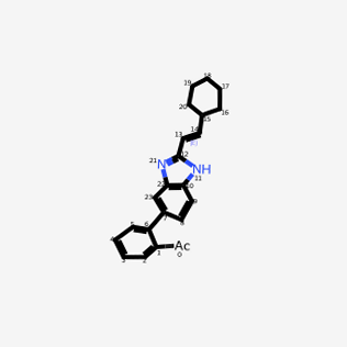 CC(=O)c1ccccc1-c1ccc2[nH]c(/C=C/C3CCCCC3)nc2c1